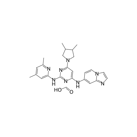 Cc1cc(C)nc(Nc2nc(Nc3ccn4ccnc4c3)cc(N3CC(C)C(C)C3)n2)c1.O=CO